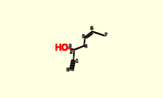 C#CC(O)C/C=C\C